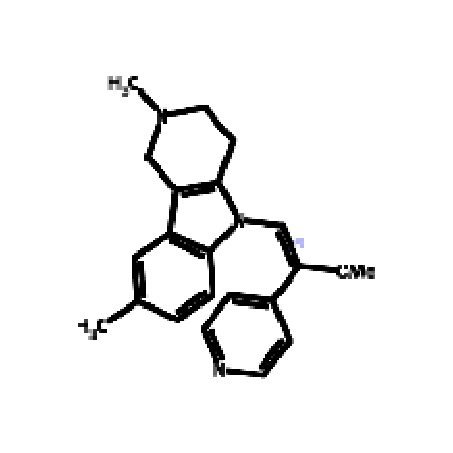 CO/C(=C/n1c2c(c3cc(C)ccc31)CN(C)CC2)c1ccncc1